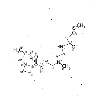 CSOCC(=O)NCCN(C)CCNC(=O)C1CCN1CC(C)C